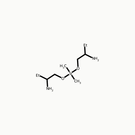 CCC(N)CO[Si](C)(C)OCC(N)CC